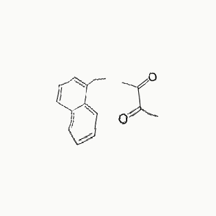 CC(=O)C(C)=O.Cc1cccc2ccccc12